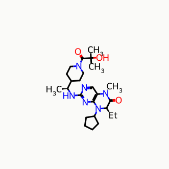 CCC1C(=O)N(C)c2cnc(N[C@@H](C)C3CCN(C(=O)C(C)(C)O)CC3)nc2N1C1CCCC1